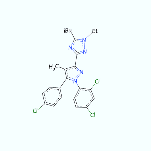 CCC(C)c1nc(-c2nn(-c3ccc(Cl)cc3Cl)c(-c3ccc(Cl)cc3)c2C)nn1CC